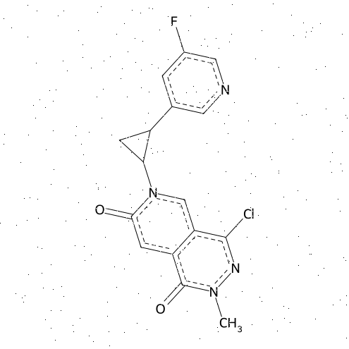 Cn1nc(Cl)c2cn(C3CC3c3cncc(F)c3)c(=O)cc2c1=O